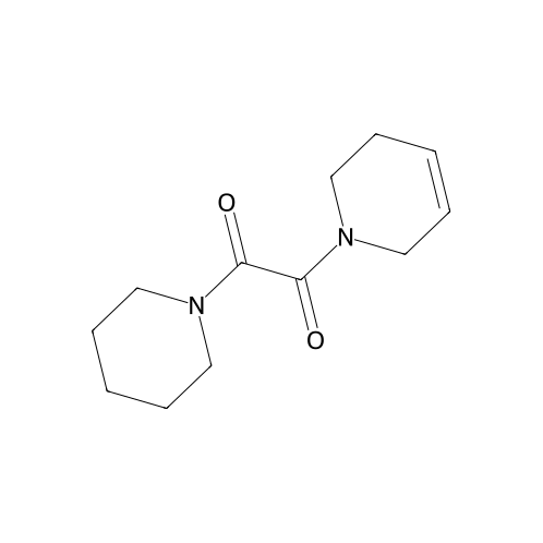 O=C(C(=O)N1CCCCC1)N1CC=CCC1